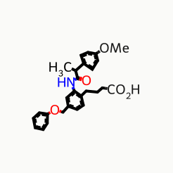 COc1ccc(C(C)C(=O)Nc2cc(COc3ccccc3)ccc2CCCC(=O)O)cc1